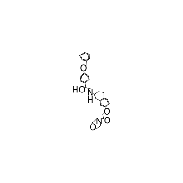 O=C(COc1ccc2c(c1)C[C@@H](NC[C@@H](O)c1ccc(OCc3ccccc3)cc1)CC2)N1CCOCC1